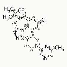 Cc1cncc(N2CCC(c3nnc4n3-c3ccc(Cl)cc3CN(C(C)(C)C(F)(F)F)C4)CC2)n1